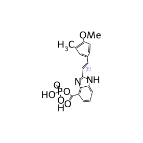 COc1ccc(/C=C/c2nc3c(C(=O)OP(=O)(O)O)cccc3[nH]2)cc1C